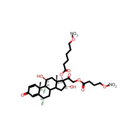 C[C@]12C=CC(=O)C=C1[C@@H](F)CC1C3C[C@@H](O)[C@](OC(=O)CCCCCO[N+](=O)[O-])(C(=O)COC(=O)CCCO[N+](=O)[O-])[C@@]3(C)C[C@H](O)[C@@]12F